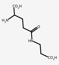 NC(CCC(=O)NCCC(=O)O)C(=O)O